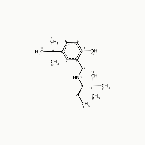 CC[C@@H](NCc1cc(C(C)(C)C)ccc1O)C(C)(C)C